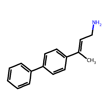 CC(=CCN)c1ccc(-c2ccccc2)cc1